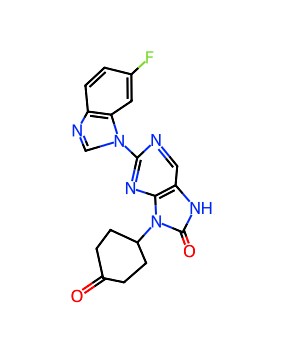 O=C1CCC(n2c(=O)[nH]c3cnc(-n4cnc5ccc(F)cc54)nc32)CC1